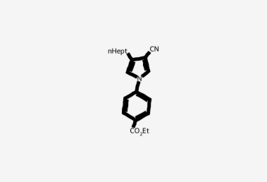 CCCCCCCc1cn(-c2ccc(C(=O)OCC)cc2)cc1C#N